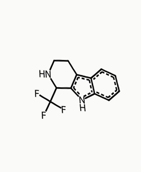 FC(F)(F)C1NCCc2c1[nH]c1ccccc21